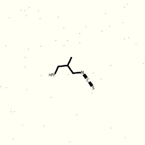 CCCCC(C)CN=C=S